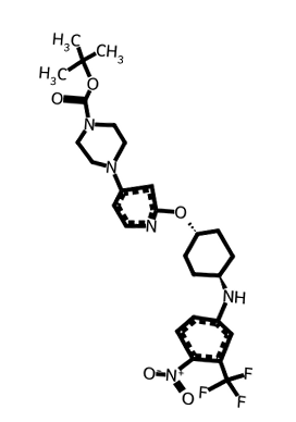 CC(C)(C)OC(=O)N1CCN(c2ccnc(O[C@H]3CC[C@H](Nc4ccc([N+](=O)[O-])c(C(F)(F)F)c4)CC3)c2)CC1